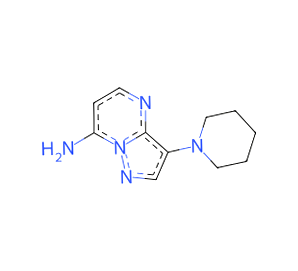 Nc1ccnc2c(N3CCCCC3)cnn12